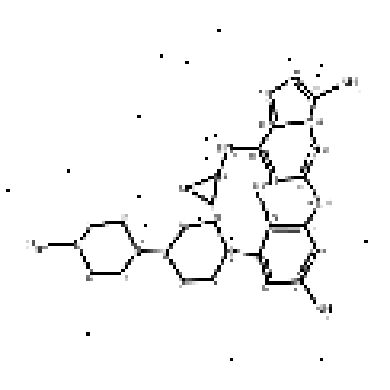 CN1CCN(C2CCN(c3cc(N)cc(Nc4nc(NC5CC5)c5ncc(N)n5n4)c3Cl)CC2)CC1